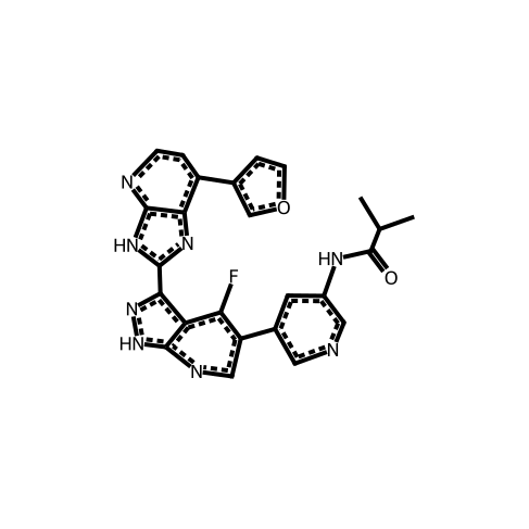 CC(C)C(=O)Nc1cncc(-c2cnc3[nH]nc(-c4nc5c(-c6ccoc6)ccnc5[nH]4)c3c2F)c1